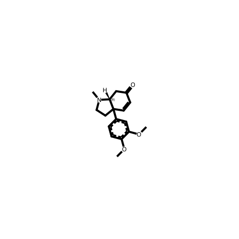 COc1ccc(C23C=CC(=O)C[C@H]2N(C)CC3)cc1OC